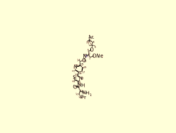 COC/C(COC(C)(C)C[C@@H](C)C(C)=O)=N\OCc1ccc(-c2nc(NC(=O)C(N)CC(C)C)cs2)cn1